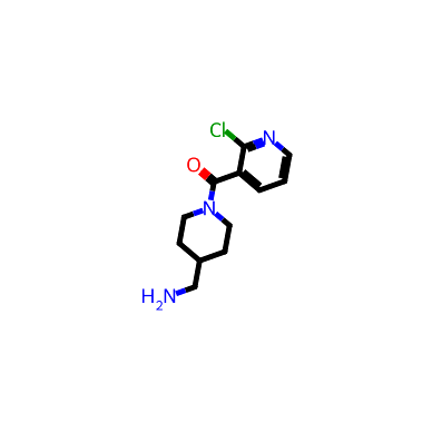 NCC1CCN(C(=O)c2cccnc2Cl)CC1